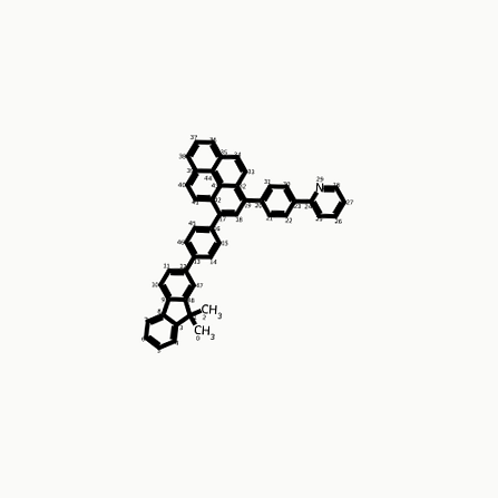 CC1(C)c2ccccc2-c2ccc(-c3ccc(-c4cc(-c5ccc(-c6ccccn6)cc5)c5ccc6cccc7ccc4c5c76)cc3)cc21